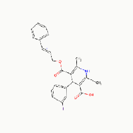 CC1=C(C(=O)O)C(c2cccc(I)c2)C(C(=O)OC/C=C/c2ccccc2)=C(C)N1